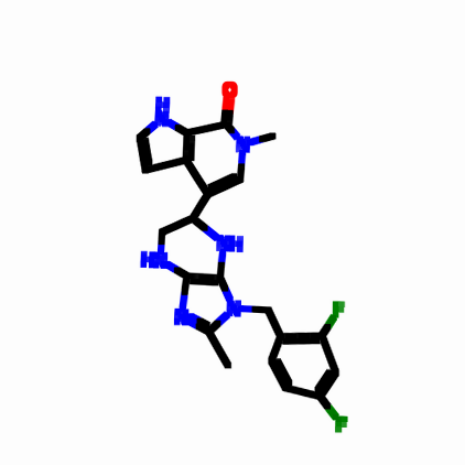 Cc1nc2c(n1Cc1ccc(F)cc1F)NC(c1cn(C)c(=O)c3[nH]ccc13)CN2